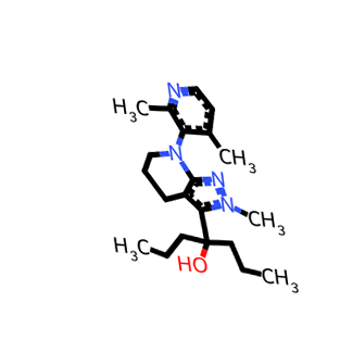 CCCC(O)(CCC)c1c2c(nn1C)N(c1c(C)ccnc1C)CCC2